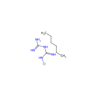 CCCCCC.N=C(N)NC(=N)NCl